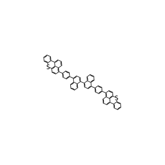 c1ccc2c(c1)Sc1ccc(-c3ccc(-c4ccc(-c5ccc(-c6ccc(-c7ccc8c9c(cccc79)-c7ccccc7S8)cc6)c6ccccc56)c5ccccc45)cc3)c3cccc-2c13